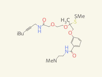 CCC(C)C#CCNC(=O)COCCOC(C)(COc1cccc(C(=O)NCCNC)c1)SSC